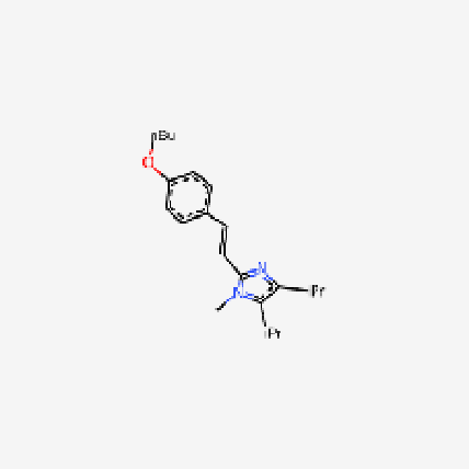 CCCCOc1ccc(/C=C/c2nc(C(C)C)c(C(C)C)n2C)cc1